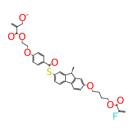 C=C(F)C(=O)OCCCCOc1ccc2c(c1)[C@H](C)c1cc(SC(=O)c3ccc(OCCOC(=O)C(=C)COC)cc3)ccc1-2